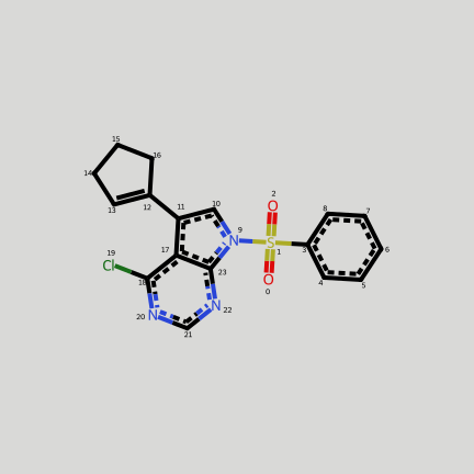 O=S(=O)(c1ccccc1)n1cc(C2=CCCC2)c2c(Cl)ncnc21